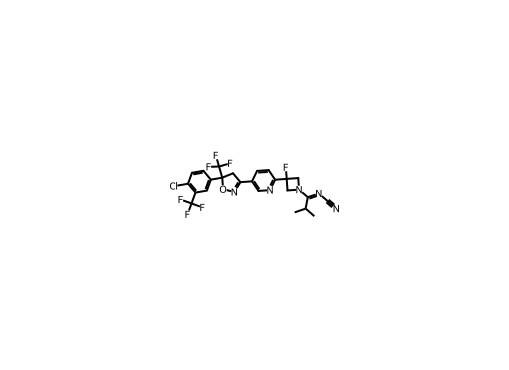 CC(C)/C(=N\C#N)N1CC(F)(c2ccc(C3=NOC(c4ccc(Cl)c(C(F)(F)F)c4)(C(F)(F)F)C3)cn2)C1